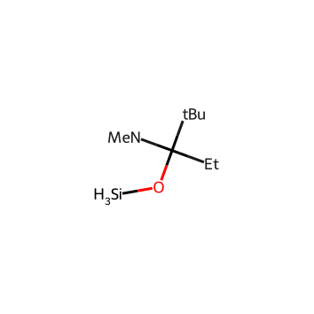 CCC(NC)(O[SiH3])C(C)(C)C